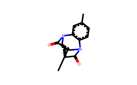 Cc1ccc2c(c1)N1C(=O)/C=C/C(=O)N2c2cc(C)ccc21